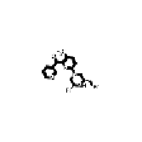 CC[C@H]1CN(c2ccc(C(F)(F)F)c(C(=O)c3cccnc3)n2)C[C@H](CC(C)C)N1